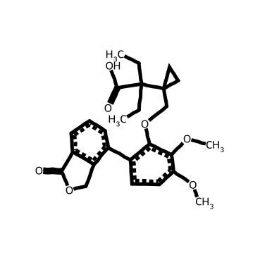 CCC(CC)(C(=O)O)C1(COc2c(-c3cccc4c3COC4=O)ccc(OC)c2OC)CC1